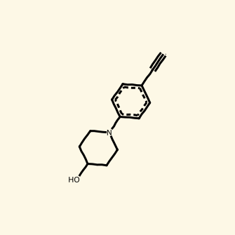 [C]#Cc1ccc(N2CCC(O)CC2)cc1